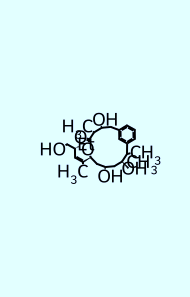 CC[C@H](/C=C(/C)[C@@H]1C[C@@H](O)C[C@H](O)C(C)(C)c2cccc(c2)C[C@@H](O)[C@H](C)C(=O)O1)CO